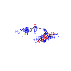 CCCSc1nc(NCCN)c2nnn(Cc3ccc(C#CC(=O)NCCCCCCCN4CCN(CCCOc5cc(C(N)=O)cc6[nH]/c(=N/C(=O)c7cc(C)nn7CC)n(C/C=C/Cn7/c(=N\C(=O)c8cc(C)nn8CC)[nH]c8cc(C(N)=O)cc(OC)c87)c56)CC4)cc3)c2n1